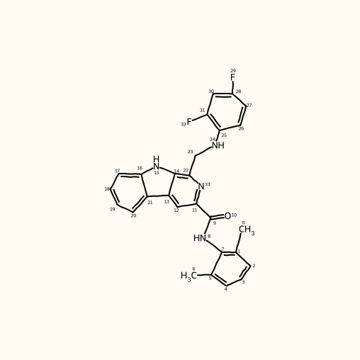 Cc1cccc(C)c1NC(=O)c1cc2c([nH]c3ccccc32)c(CNc2ccc(F)cc2F)n1